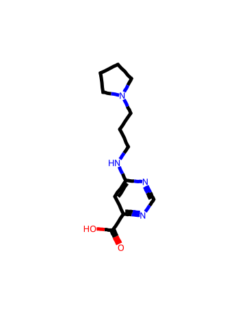 O=C(O)c1cc(NCCCN2CCCC2)ncn1